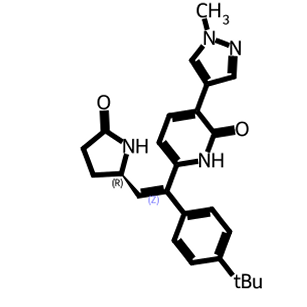 Cn1cc(-c2ccc(/C(=C\[C@H]3CCC(=O)N3)c3ccc(C(C)(C)C)cc3)[nH]c2=O)cn1